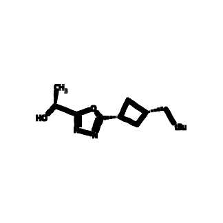 C[C@H](O)c1nnc([C@H]2C[C@@H](CC(C)(C)C)C2)o1